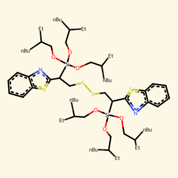 CCCCC(CC)CO[Si](OCC(CC)CCCC)(OCC(CC)CCCC)C(CSSCC(c1nc2ccccc2s1)[Si](OCC(CC)CCCC)(OCC(CC)CCCC)OCC(CC)CCCC)c1nc2ccccc2s1